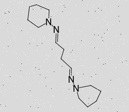 C(/CC/C=N/N1CCCCC1)=N\N1CCCCC1